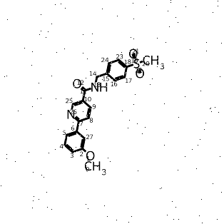 COc1cccc(-c2ccc(C(=O)NCc3ccc(S(C)(=O)=O)cc3)cn2)c1